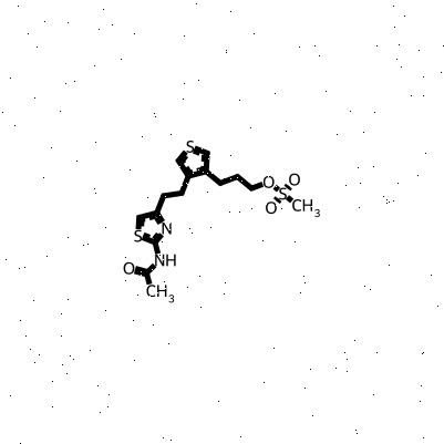 CC(=O)Nc1nc(CCc2cscc2CCCOS(C)(=O)=O)cs1